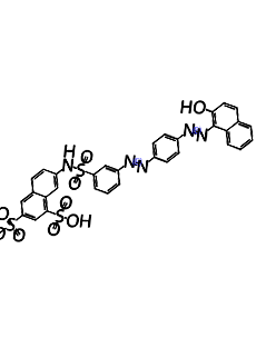 O=S(=O)(O)c1cc(S(=O)(=O)O)c2cc(NS(=O)(=O)c3cccc(/N=N/c4ccc(/N=N/c5c(O)ccc6ccccc56)cc4)c3)ccc2c1